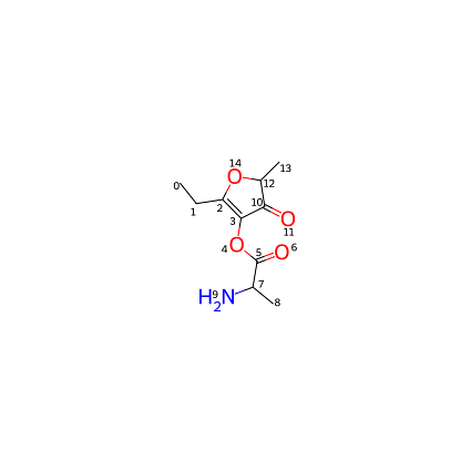 CCC1=C(OC(=O)C(C)N)C(=O)C(C)O1